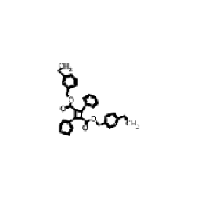 C=Cc1ccc(COC(=O)C2C(c3ccccc3)C(C(=O)OCc3cccc(C=C)c3)C2c2ccccc2)cc1